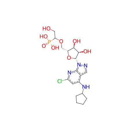 O=P(O)(O)C(CO)OC[C@H]1O[C@@H](n2ncc3c(NC4CCCC4)cc(Cl)nc32)[C@H](O)[C@@H]1O